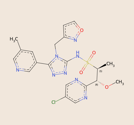 CO[C@H](c1ncc(Cl)cn1)[C@H](C)S(=O)(=O)Nc1nnc(-c2cncc(C)c2)n1Cc1ccon1